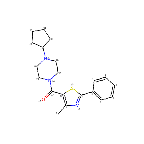 Cc1nc(-c2ccccc2)sc1C(=O)N1CCN(C2CCCC2)CC1